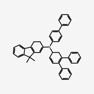 CC1(C)C2=C(CCC(N(c3ccc(-c4ccccc4)cc3)C3C=CC(c4ccccc4)=C(c4ccccc4)C3)=C2)c2ccccc21